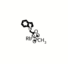 CS(=O)(=O)[N]([Rb])C(=O)Cn1ccc2ccccc21